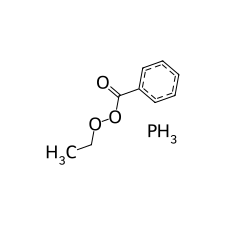 CCOOC(=O)c1ccccc1.P